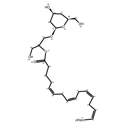 CCCCC/C=C\C/C=C\C/C=C\C/C=C\CCCC(=O)OC(CO)CO[C@H]1C[C@@H](O)C[C@@H](CO)O1